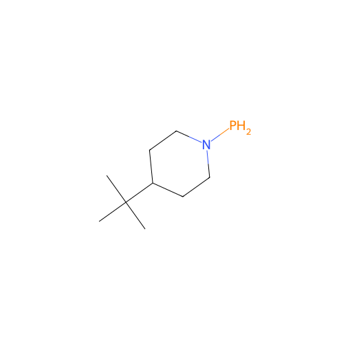 CC(C)(C)C1CCN(P)CC1